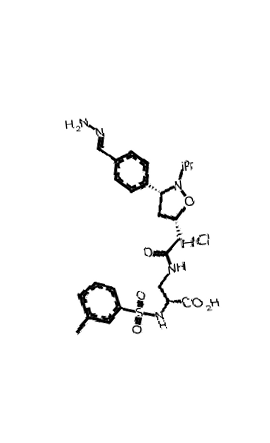 Cc1cccc(S(=O)(=O)N[C@@H](CNC(=O)C[C@@H]2C[C@H](c3ccc(C=NN)cc3)N(C(C)C)O2)C(=O)O)c1.Cl